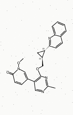 COn1cc(-c2cnc(C)nc2OC[C@H]2C[C@@H]2c2ccc3ccccc3n2)ccc1=O